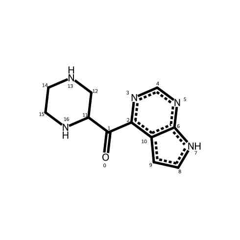 O=C(c1ncnc2[nH]ccc12)C1CNCCN1